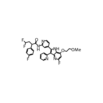 COCCOc1cc(F)nc2c(-c3ccccn3)c(-c3ccnc(NC(=O)C(CC(F)F)c4ccc(F)cc4)c3)[nH]c12